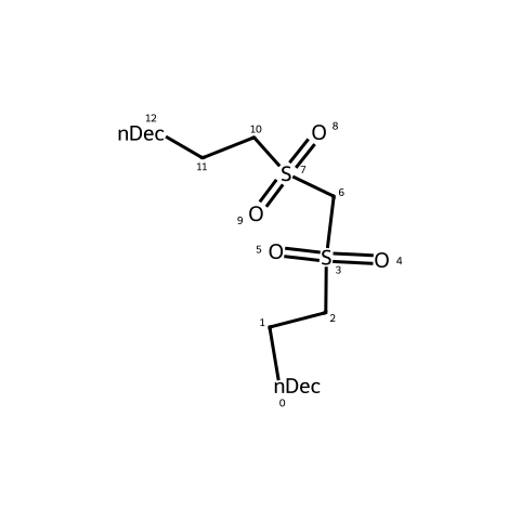 CCCCCCCCCCCCS(=O)(=O)CS(=O)(=O)CCCCCCCCCCCC